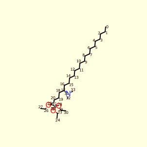 CCCCCCCCCCCCCCCCCC(CCC[Si](OCC)(OCC)OCC)N(C)C